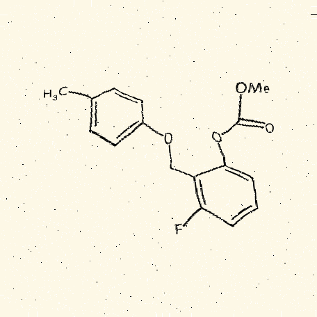 COC(=O)Oc1cccc(F)c1COc1ccc(C)cc1